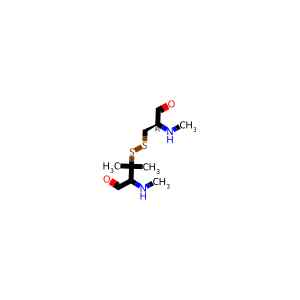 CNC(C=O)C(C)(C)SSC[C@@H](C=O)NC